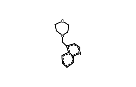 c1ccc2c(CN3CCOCC3)ccnc2c1